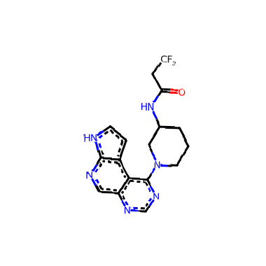 O=C(CC(F)(F)F)NC1CCCN(c2ncnc3cnc4[nH]ccc4c23)C1